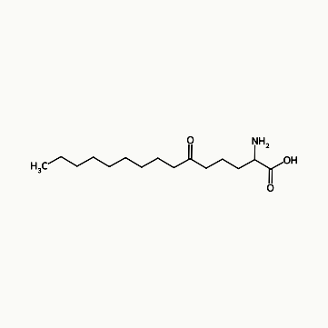 CCCCCCCCCC(=O)CCCC(N)C(=O)O